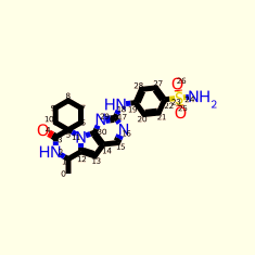 CC1NC(=O)C2(CCCCC2)n2c1cc1cnc(Nc3ccc(S(N)(=O)=O)cc3)nc12